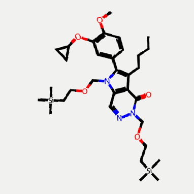 CCCCc1c(-c2ccc(OC)c(OC3CC3)c2)n(COCC[Si](C)(C)C)c2cnn(COCC[Si](C)(C)C)c(=O)c12